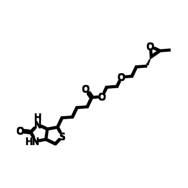 CC1O[C@H]1CCCOCCOC(=O)CCCCC1SCC2NC(=O)NC21